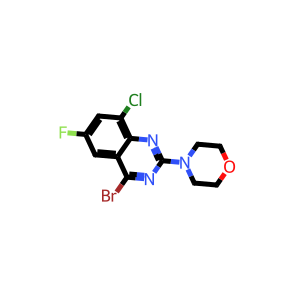 Fc1cc(Cl)c2nc(N3CCOCC3)nc(Br)c2c1